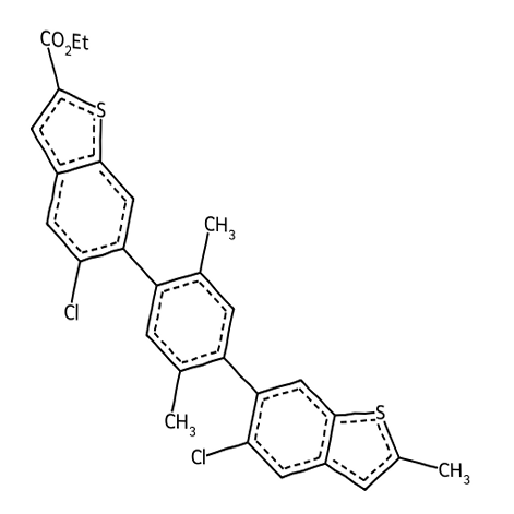 CCOC(=O)c1cc2cc(Cl)c(-c3cc(C)c(-c4cc5sc(C)cc5cc4Cl)cc3C)cc2s1